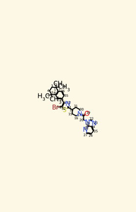 CC1(C)CCC(C)(C)c2cc(-c3nc(C4CCN(C(=O)Cn5cnc6cccnc65)CC4)sc3Br)ccc21